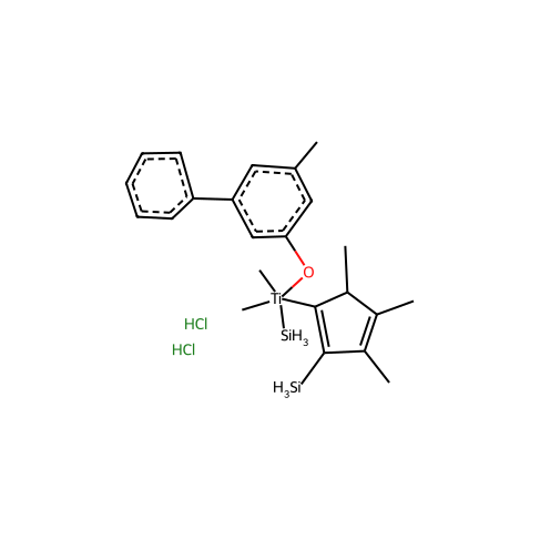 CC1=C(C)C(C)[C]([Ti]([CH3])([CH3])([SiH3])[O]c2cc(C)cc(-c3ccccc3)c2)=C1[SiH3].Cl.Cl